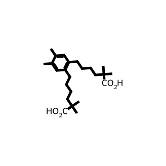 Cc1cc(CCCCC(C)(C)C(=O)O)c(CCCCC(C)(C)C(=O)O)cc1C